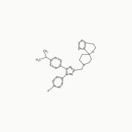 CC(C)c1ccc(-c2nc(CN3CCC4(CC3)OCCc3ccsc34)nn2-c2ccc(F)cc2)cc1